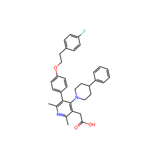 Cc1nc(C)c(-c2ccc(OCCc3ccc(F)cc3)cc2)c(N2CCC(c3ccccc3)CC2)c1CC(=O)O